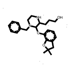 CC1(C)Cc2cccc(OC3C(CCCO)NCCN3Cc3ccccc3)c2O1